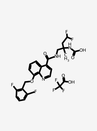 CC(CNC(=O)c1ccnc2c(OCc3c(F)cccc3F)cccc12)(CC(F)F)NC(=O)O.O=C(O)C(F)(F)F